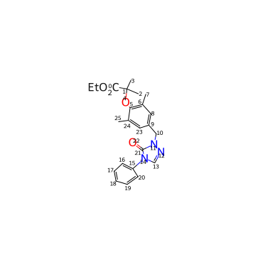 CCOC(=O)C(C)(C)Oc1c(C)cc(Cn2ncn(-c3ccccc3)c2=O)cc1C